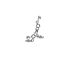 CCCCOc1cc(OCCCC)c(C(C)C)cc1CON1Cc2ccc(OCCN(C)C)cc2C1